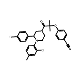 Cc1ccc(N2CCN(C(=O)C(C)(C)Oc3ccc(C#N)cc3)CC2c2ccc(Cl)cc2)c(Cl)c1